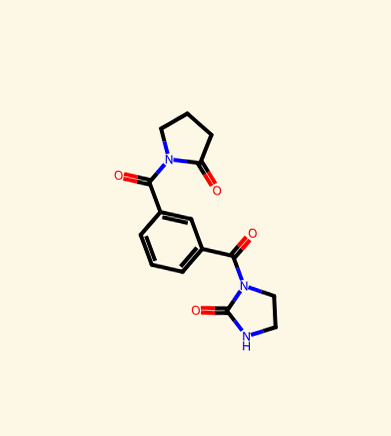 O=C1CCCN1C(=O)c1cccc(C(=O)N2CCNC2=O)c1